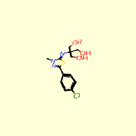 Cn1nc(-c2ccc(Cl)cc2)sc1=NC(CO)(CO)CO